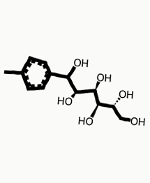 Cc1ccc(C(O)[C@H](O)[C@@H](O)[C@H](O)[C@H](O)CO)cc1